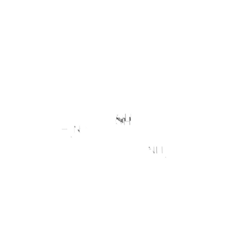 NCCCCCCCCCCCCCCCCCCCCCC[Si](O)(O)CCCCCCCCCCCCCCCCCCCCCCN